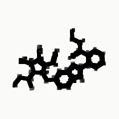 CCOC(=O)c1ccccc1-c1cc2cc(CN3C(C=O)=C(Cl)N(Br)C3C(C)CC)ccc2o1